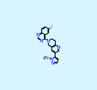 CC(C)n1nccc1-c1cnc2c(c1)CN(c1ncnc3ccc(F)cc13)CC2